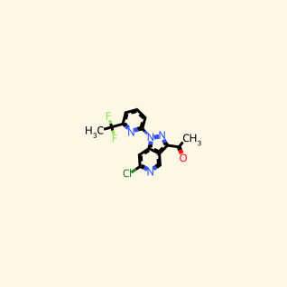 CC(=O)c1nn(-c2cccc(C(C)(F)F)n2)c2cc(Cl)ncc12